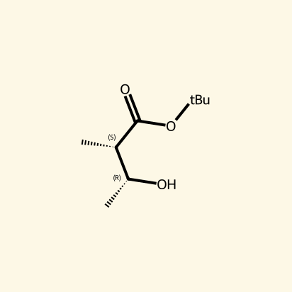 C[C@H](C(=O)OC(C)(C)C)[C@@H](C)O